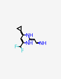 N=C/C=C1\NC(C(F)F)=CC(=C2CC2)N1